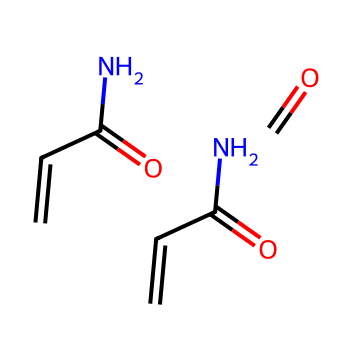 C=CC(N)=O.C=CC(N)=O.C=O